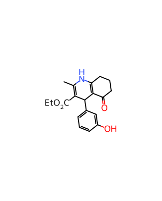 CCOC(=O)C1=C(C)NC2=C(C(=O)CCC2)C1c1cccc(O)c1